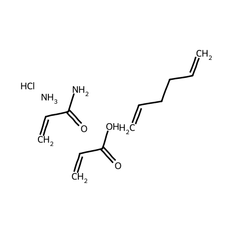 C=CC(=O)O.C=CC(N)=O.C=CCCC=C.Cl.N